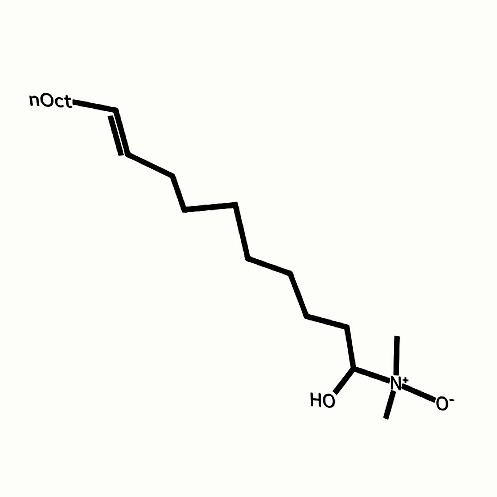 CCCCCCCCC=CCCCCCCCC(O)[N+](C)(C)[O-]